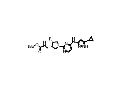 CC(C)(C)OC(=O)NC[C@H]1CN(c2nccc(Nc3cc(C4CC4)[nH]n3)n2)C[C@H]1F